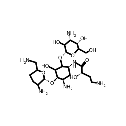 NCC[C@H](O)C(=O)N[C@@H]1C[C@@H](N)[C@@H](O[C@H]2OC(CN)CCC2N)C(O)C1O[C@H]1OC(CO)[C@@H](O)[C@@H](N)C1O